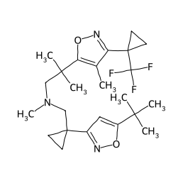 Cc1c(C2(C(F)(F)F)CC2)noc1C(C)(C)CN(C)CC1(c2cc(C(C)(C)C)on2)CC1